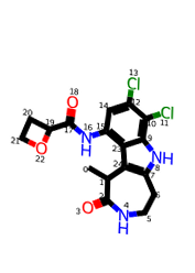 CC1C(=O)NCCc2[nH]c3c(Cl)c(Cl)cc(NC(=O)C4CCO4)c3c21